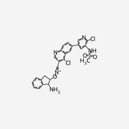 CS(=O)(=O)Nc1cc(-c2ccc3ncc(C#[N+]OC4Cc5ccccc5C4N)c(Cl)c3c2)cnc1Cl